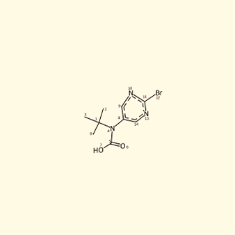 CC(C)(C)N(C(=O)O)c1cnc(Br)nc1